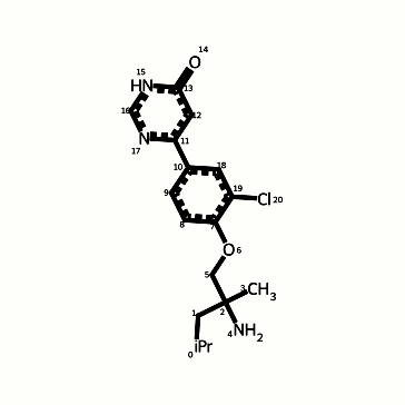 CC(C)CC(C)(N)COc1ccc(-c2cc(=O)[nH]cn2)cc1Cl